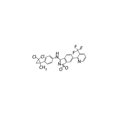 CC1(c2ccc(NC3=NS(=O)(=O)c4cc(-c5ncccc5C(F)(F)F)ccc43)cc2)CC1(Cl)Cl